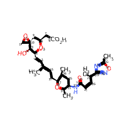 CC(/C=C/[C@H]1O[C@H](CC(=O)O)C[C@@]2(CO2)[C@@H]1O)=C\C[C@@H]1O[C@H](C)[C@H](NC(=O)/C=C\[C@@H](C)c2noc(C)n2)C[C@@H]1C